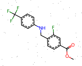 COC(=O)c1ccc(CNc2ccc(C(F)(F)F)cc2)c(F)c1